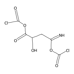 N=C(CC(O)C(=O)OC(=O)Cl)OC(=O)Cl